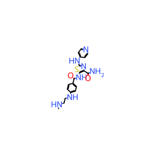 CNCCNc1ccc(C(=O)Nc2sc(Nc3ccncc3)nc2C(N)=O)cc1